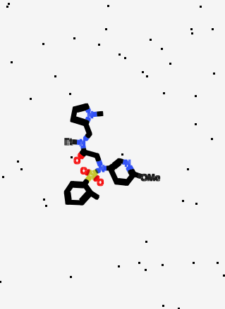 CCN(Cc1cccn1C)C(=O)CN(c1ccc(OC)nc1)S(=O)(=O)c1ccccc1C